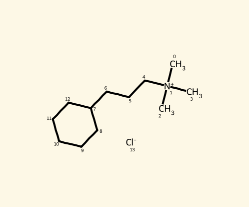 C[N+](C)(C)CCCC1CCCCC1.[Cl-]